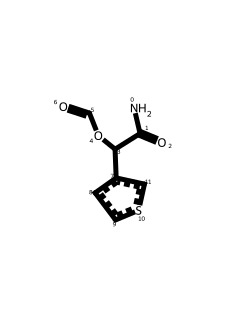 NC(=O)C(OC=O)c1ccsc1